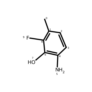 [CH2]c1ccc(N)c(O)c1F